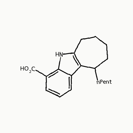 CCCCCC1CCCCc2[nH]c3c(C(=O)O)cccc3c21